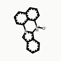 [O-][NH+]1c2cccc3cccc(c23)-n2cc3ccccc3c21